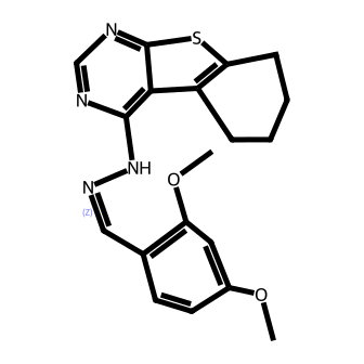 COc1ccc(/C=N\Nc2ncnc3sc4c(c23)CCCC4)c(OC)c1